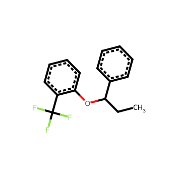 CCC(Oc1ccccc1C(F)(F)F)c1ccccc1